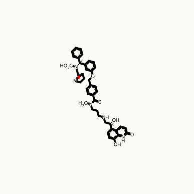 CN(CCCNC[C@H](O)c1ccc(O)c2[nH]c(=O)ccc12)C(=O)c1ccc(COc2cccc([C@@H](c3ccccc3)N(C(=O)O)C3CN4CCC3CC4)c2)cc1